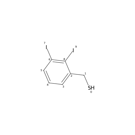 SCc1cccc(I)c1I